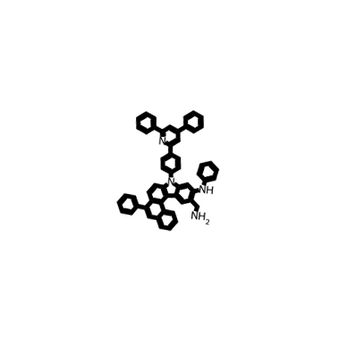 NCc1cc2c3c4c(ccc3n(-c3ccc(-c5cc(-c6ccccc6)cc(-c6ccccc6)n5)cc3)c2cc1Nc1ccccc1)c(-c1ccccc1)cc1ccccc14